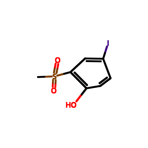 CS(=O)(=O)c1cc(I)ccc1O